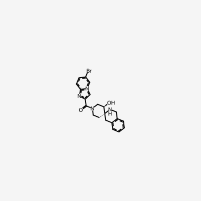 O=C(c1cn2cc(Br)ccc2n1)N1CC[C@]2(Cc3ccccc3CN2)[C@H](O)C1